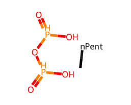 CCCCCC.O=[PH](O)O[PH](=O)O